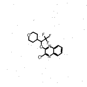 FC(F)(F)C(Oc1nc2ccccc2nc1Cl)C1CCOCC1